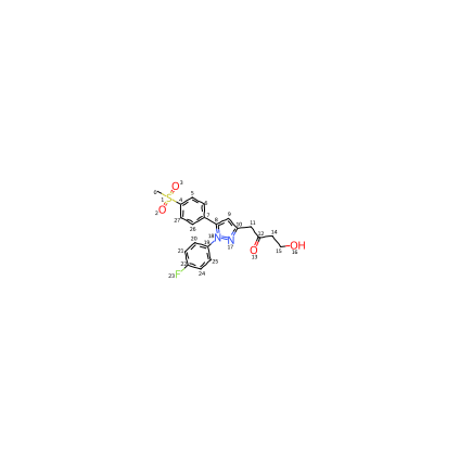 CS(=O)(=O)c1ccc(-c2cc(CC(=O)CCO)nn2-c2ccc(F)cc2)cc1